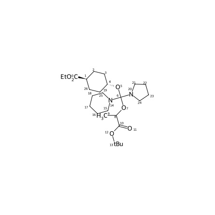 CCOC(=O)[C@H]1CC[C@H](OC(OC(C)C(=O)OC(C)(C)C)(N2CCCCC2)N2CCCC2)CC1